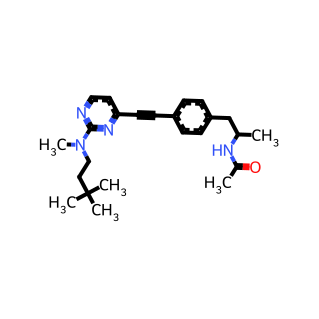 CC(=O)NC(C)Cc1ccc(C#Cc2ccnc(N(C)CCC(C)(C)C)n2)cc1